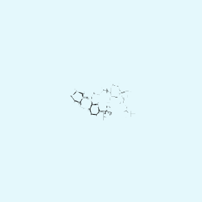 CCC1(OCCO)CCN(CCCN2c3ccccc3Sc3ccc(C(F)(F)F)cc32)CC1